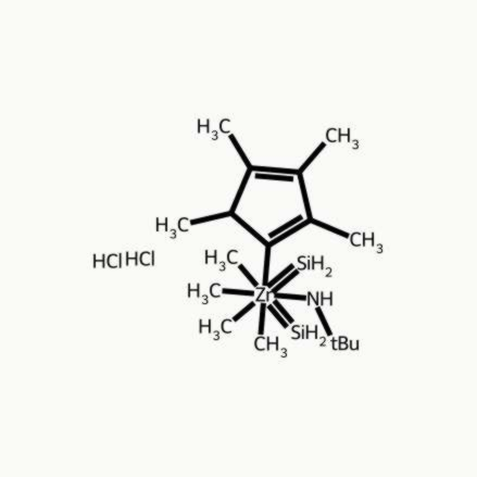 CC1=C(C)C(C)[C]([Zr]([CH3])([CH3])([CH3])([CH3])(=[SiH2])(=[SiH2])[NH]C(C)(C)C)=C1C.Cl.Cl